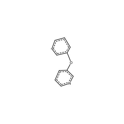 [c]1cccc(Oc2cccnc2)c1